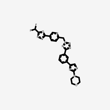 FC(F)c1nnc(-c2ccc(Cn3nnc(-c4cccc(-c5cnc(N6CCOCC6)s5)c4)n3)nc2)o1